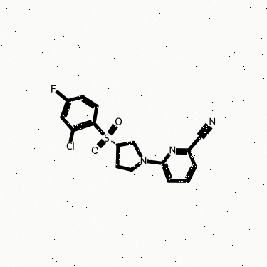 N#Cc1cccc(N2CC[C@H](S(=O)(=O)c3ccc(F)cc3Cl)C2)n1